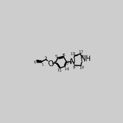 C#CCOc1ccc(N2CCNCC2)cc1